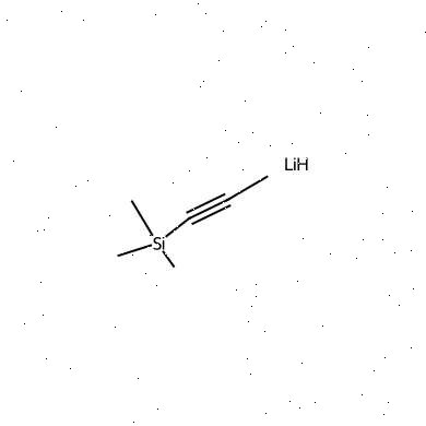 CC#C[Si](C)(C)C.[LiH]